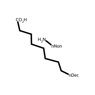 CCCCCCCCCCCCCCCCCC(=O)O.CCCCCCCCCN